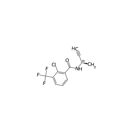 C#C[C@@H](C)NC(=O)c1cccc(C(F)(F)F)c1Cl